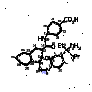 CCCC(N)(CC)c1ccc(/N=N\c2c(O)c(C(=O)Nc3ccc(C(=O)O)cc3)cc3ccccc23)cc1